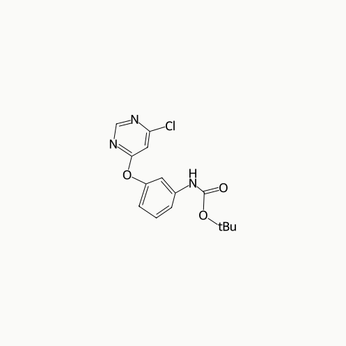 CC(C)(C)OC(=O)Nc1cccc(Oc2cc(Cl)ncn2)c1